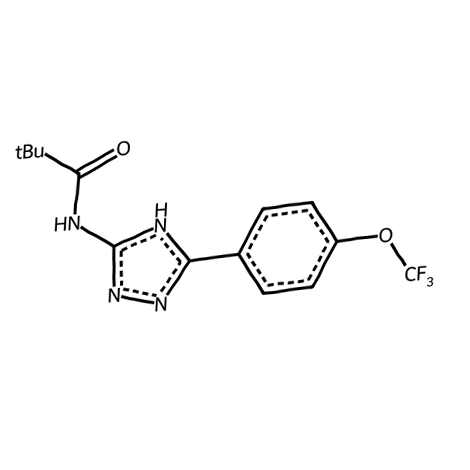 CC(C)(C)C(=O)Nc1nnc(-c2ccc(OC(F)(F)F)cc2)[nH]1